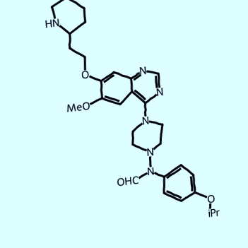 COc1cc2c(N3CCN(N(C=O)c4ccc(OC(C)C)cc4)CC3)ncnc2cc1OCCC1CCCCN1